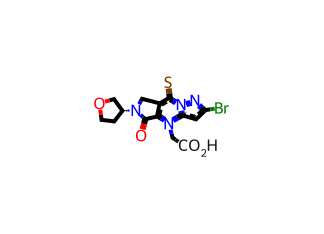 O=C(O)Cn1c2c(c(=S)n3nc(Br)cc13)CN([C@@H]1CCOC1)C2=O